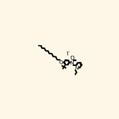 CCCCCCCCCCCCOc1ccc(N(Cc2cccc[n+]2CCC)C(C)=O)cc1C(C)(C)C.[I-]